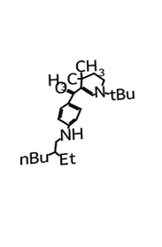 CCCCC(CC)CNc1ccc(C(=O)C2=CN(C(C)(C)C)CCC2(C)C)cc1